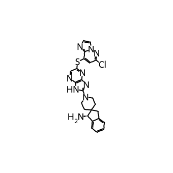 N[C@@H]1c2ccccc2CC12CCN(c1nc3nc(Sc4cc(Cl)nn5ccnc45)cnc3[nH]1)CC2